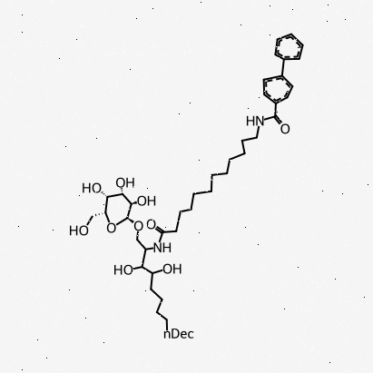 CCCCCCCCCCCCCCC(O)C(O)C(CO[C@H]1O[C@H](CO)[C@H](O)[C@H](O)[C@H]1O)NC(=O)CCCCCCCCCCCNC(=O)c1ccc(-c2ccccc2)cc1